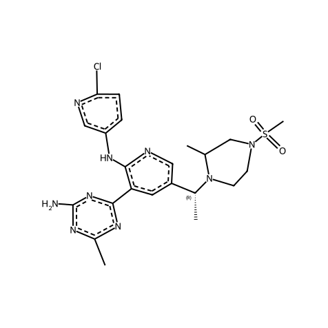 Cc1nc(N)nc(-c2cc([C@@H](C)N3CCN(S(C)(=O)=O)CC3C)cnc2Nc2ccc(Cl)nc2)n1